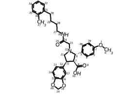 COc1ccc([C@@H]2[C@@H](C(=O)O)[C@@H](c3ccc4c(c3)OCO4)CN2CC(=O)NCCCCc2ccccc2C)cc1